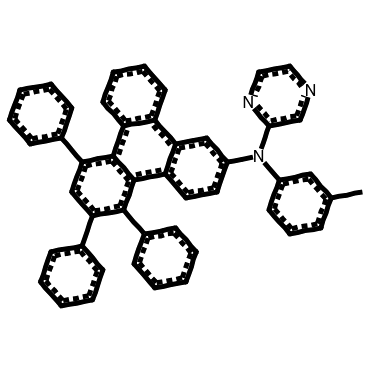 Cc1cccc(N(c2ccc3c(c2)c2ccccc2c2c(-c4ccccc4)cc(-c4ccccc4)c(-c4ccccc4)c32)c2cnccn2)c1